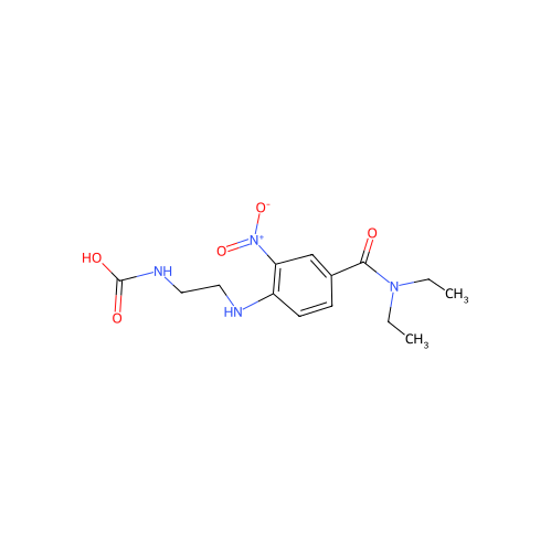 CCN(CC)C(=O)c1ccc(NCCNC(=O)O)c([N+](=O)[O-])c1